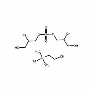 C[N+](C)(C)CCO.O=S(=O)(OCC(O)CO)OCC(O)CO